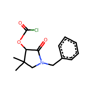 CC1(C)CN(Cc2ccccc2)C(=O)C1OC(=O)Cl